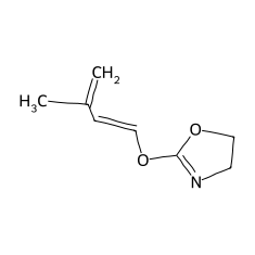 C=C(C)C=COC1=NCCO1